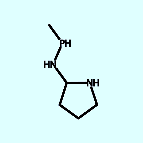 CPNC1CCCN1